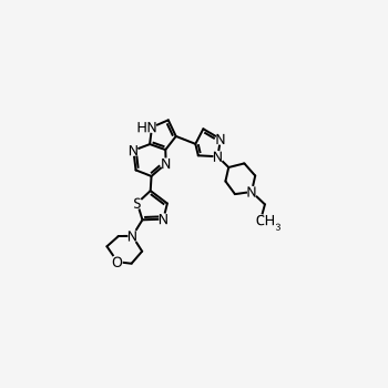 CCN1CCC(n2cc(-c3c[nH]c4ncc(-c5cnc(N6CCOCC6)s5)nc34)cn2)CC1